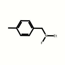 CCN(F)Cc1ccc(C)cc1